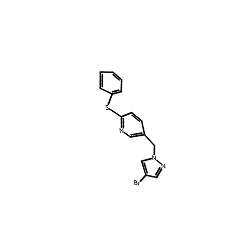 Brc1cnn(Cc2ccc(Sc3ccccc3)nc2)c1